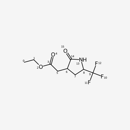 CCOC(=O)CC1CC(C(F)(F)F)NC1=O